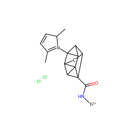 CC1=[Si](C23C4C5CC26C2C5(C(=O)[NH][Ti+2])C26C43)C(C)C=C1.[Cl-].[Cl-]